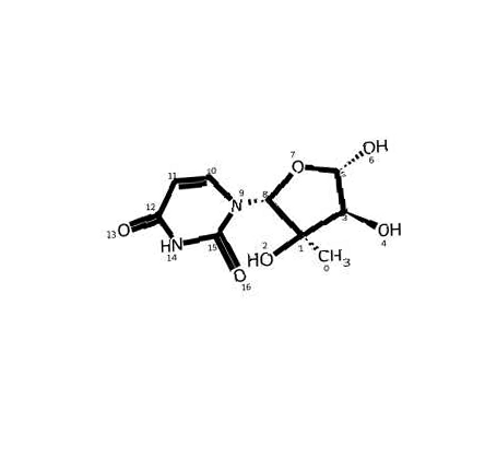 C[C@@]1(O)[C@H](O)[C@@H](O)O[C@H]1n1ccc(=O)[nH]c1=O